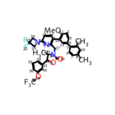 COc1ccc(-c2ccc(C)cc2C)cc1-c1ccc(N2CC(F)(F)C2)nc1CN1C(=O)OC(c2cccc(OC(F)(F)F)c2)C1C